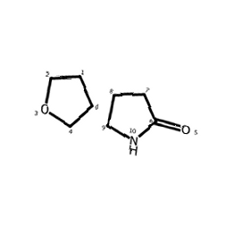 C1CCOC1.O=C1CCCN1